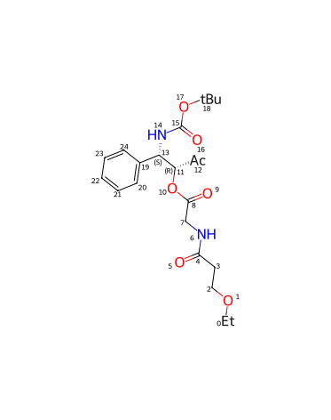 CCOCCC(=O)NCC(=O)O[C@@H](C(C)=O)[C@@H](NC(=O)OC(C)(C)C)c1ccccc1